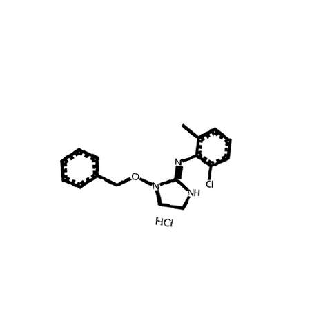 Cc1cccc(Cl)c1/N=C1\NCCN1OCc1ccccc1.Cl